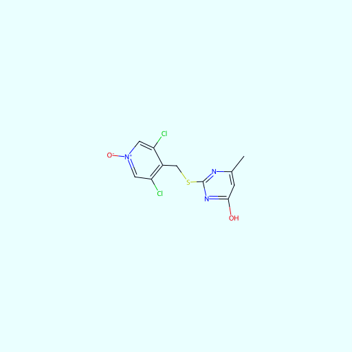 Cc1cc(O)nc(SCc2c(Cl)c[n+]([O-])cc2Cl)n1